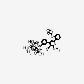 COCOc1ccccc1-c1cc(-c2cccc(CNC(NC(=O)O)(N(C(=O)O)C(C)(C)C)C(C)(C)C)c2)c(C#N)c(N)n1